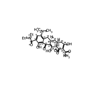 CCN(CC)C(=O)c1cc(N(C)C)c2c(c1O)C(=O)C1=C(O)[C@]3(O)C(=O)C(C(N)=O)=C(O)C[C@@H]3C[C@@H]1C2